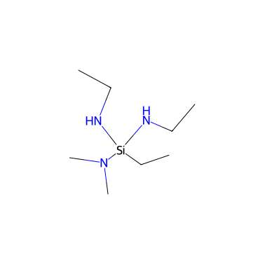 CCN[Si](CC)(NCC)N(C)C